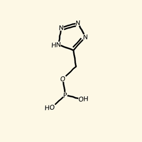 OP(O)OCc1nnn[nH]1